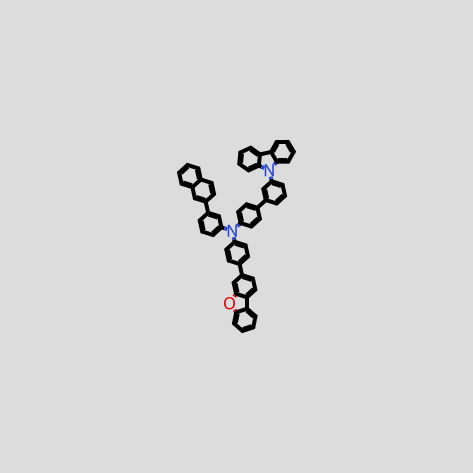 c1cc(-c2ccc3ccccc3c2)cc(N(c2ccc(-c3cccc(-n4c5ccccc5c5ccccc54)c3)cc2)c2ccc(-c3ccc4c(c3)oc3ccccc34)cc2)c1